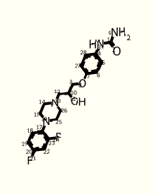 NC(=O)Nc1ccc(OCC(O)CN2CCN(c3ccc(F)cc3F)CC2)cc1